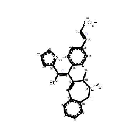 CC/C(=C(\C1=Cc2ccccc2C[C@@H](C)C1C)c1ccc(/C=C/C(=O)O)cc1)c1cccs1